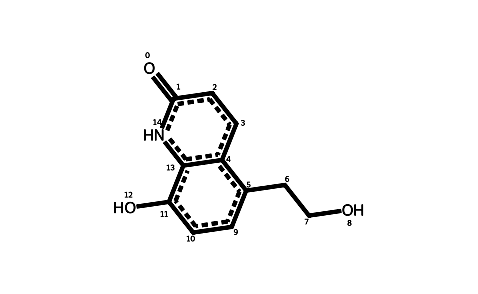 O=c1ccc2c(CCO)ccc(O)c2[nH]1